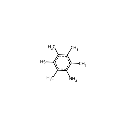 Cc1c(C)c(N)c(C)c(S)c1C